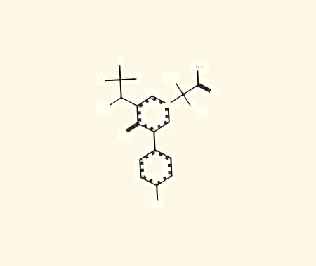 CC(C)(C(N)=O)n1cc(-c2ccc(F)cc2)c(=O)c(C(O)C(F)(F)F)c1